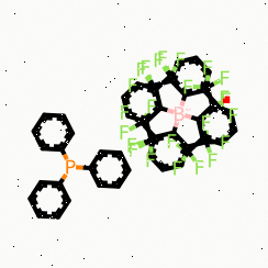 FC(F)(F)c1cccc(C(F)(F)F)c1[B-](c1c(C(F)(F)F)cccc1C(F)(F)F)(c1c(C(F)(F)F)cccc1C(F)(F)F)c1c(C(F)(F)F)cccc1C(F)(F)F.c1ccc(P(c2ccccc2)c2ccccc2)cc1